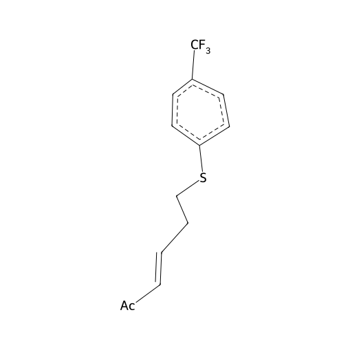 CC(=O)C=CCCSc1ccc(C(F)(F)F)cc1